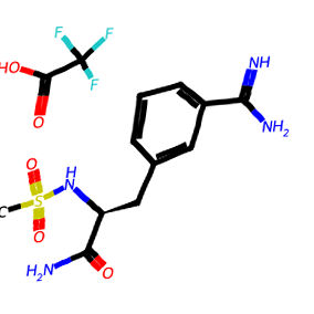 CS(=O)(=O)N[C@@H](Cc1cccc(C(=N)N)c1)C(N)=O.O=C(O)C(F)(F)F